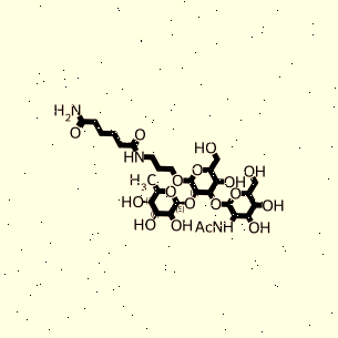 CC(=O)NC1C(OC2C(O)C(CO)OC(OCCCNC(=O)CCCCC(N)=O)[C@@H]2O[C@@H]2OC(C)[C@@H](O)[C@@H](O)C2O)OC(CO)C(O)C1O